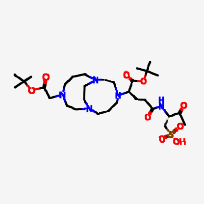 CC(=O)[C@H](CS(=O)(=O)O)NC(=O)CC[C@H](C(=O)OC(C)(C)C)N1CCCN2CCN(CCCN(CC(=O)OC(C)(C)C)CC2)CC1